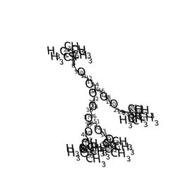 CC(C)(C)[Si](C)(C)C#CCOCCOCC(COCCOCC#C[Si](C)(C)C(C)(C)C)OCCOCCOC(COCCO[Si](C)(C)C(C)(C)C)COCCO[Si](C)(C)C(C)(C)C